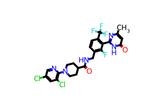 Cc1cc(=O)[nH]c(-c2c(C(F)(F)F)ccc(CNC(=O)C3CCN(c4ncc(Cl)cc4Cl)CC3)c2F)n1